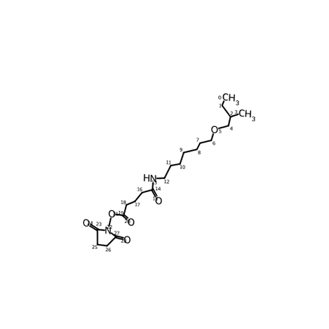 CCC(C)COCCCCCCCNC(=O)CCCC(=O)ON1C(=O)CCC1=O